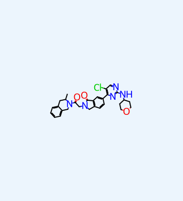 CC1Cc2ccccc2CN1C(=O)CN1Cc2ccc(-c3nc(NC4CCOCC4)ncc3Cl)cc2C1=O